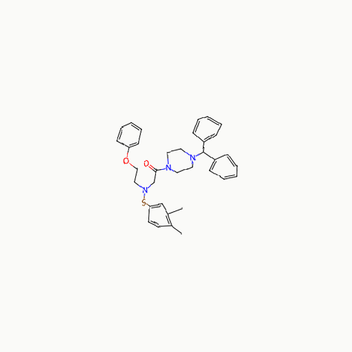 Cc1ccc(SN(CCOc2ccccc2)CC(=O)N2CCN(C(c3ccccc3)c3ccccc3)CC2)cc1C